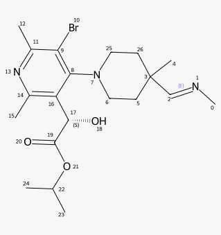 C/N=C/C1(C)CCN(c2c(Br)c(C)nc(C)c2[C@H](O)C(=O)OC(C)C)CC1